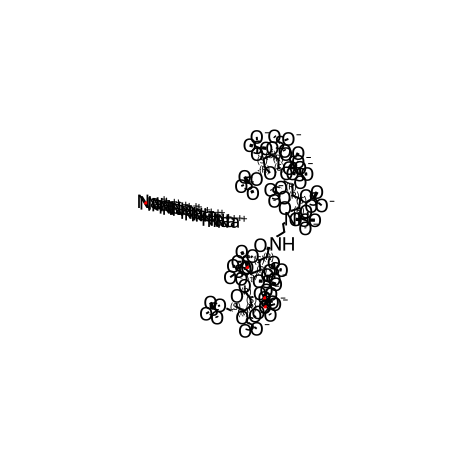 O=C(NCCCNC(=O)[C@H](OS(=O)(=O)[O-])[C@@H](OS(=O)(=O)[O-])[C@H](OS(=O)(=O)[O-])[C@@H](CO[C@H]1O[C@H](COS(=O)(=O)[O-])[C@H](OS(=O)(=O)[O-])[C@H](OS(=O)(=O)[O-])[C@H]1OS(=O)(=O)[O-])OS(=O)(=O)[O-])[C@H](OS(=O)(=O)[O-])[C@@H](OS(=O)(=O)[O-])[C@H](OS(=O)(=O)[O-])[C@H](CO[C@@H]1O[C@@H](COS(=O)(=O)[O-])[C@@H](OS(=O)(=O)[O-])[C@@H](OS(=O)(=O)[O-])[C@@H]1OS(=O)(=O)[O-])OS(=O)(=O)[O-].[Na+].[Na+].[Na+].[Na+].[Na+].[Na+].[Na+].[Na+].[Na+].[Na+].[Na+].[Na+].[Na+].[Na+].[Na+].[Na+]